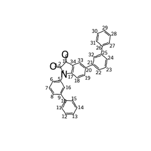 O=C1C(=O)N(c2cccc(-c3ccccc3)c2)c2ccc(-c3cccc(-c4ccccc4)c3)cc21